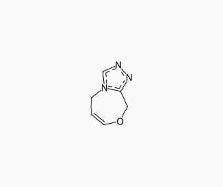 C1=COCc2nncn2C1